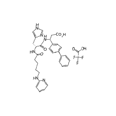 O=C(O)C(F)(F)F.O=C(O)CC(NC(=O)[C@@H](Cc1c[nH]cn1)NC(=O)CCCCNc1ccccn1)c1ccc(-c2ccccc2)cc1